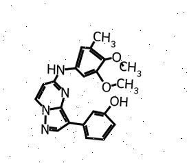 COc1cc(Nc2ccn3ncc(-c4cccc(O)c4)c3n2)cc(C)c1OC